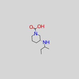 CCC(C)N[C@@H]1CCCN(C(=O)O)C1